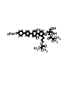 C=C(C)C(=O)OCCCc1cc(-c2ccc(-c3ccc(C4CCC(CCCCC)CC4)cc3)cc2CC)c(CC)cc1OCC(CO)(CO)COC(=O)C(=C)C